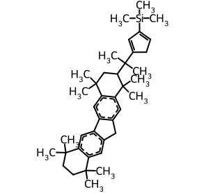 CC1(C)CCC(C)(C)c2cc3c(cc21)Cc1cc2c(cc1-3)C(C)(C)CC(C(C)(C)C1=CC([Si](C)(C)C)=CC1)C2(C)C